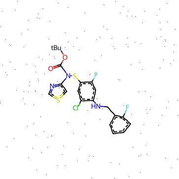 CC(C)(C)OC(=O)N(Sc1cc(Cl)c(NCc2ccccc2F)cc1F)c1cscn1